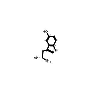 CC(=O)[C@@H](N)Cc1c[nH]c2ccc(O)cc12